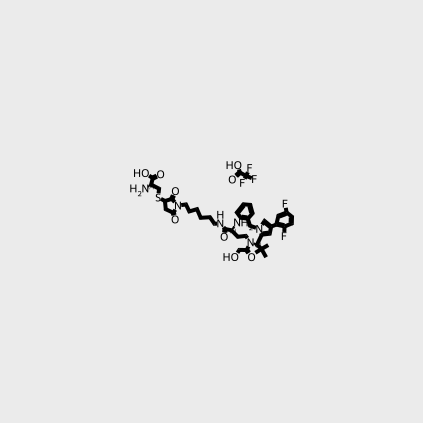 CC(C)(C)[C@H](c1cc(-c2cc(F)ccc2F)cn1Cc1ccccc1)N(CC[C@H](N)C(=O)NCCCCCCN1C(=O)CC(SC[C@H](N)C(=O)O)C1=O)C(=O)CO.O=C(O)C(F)(F)F